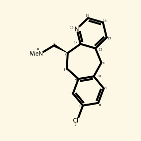 CNC[C@@H]1Cc2cc(Cl)ccc2Cc2cccnc21